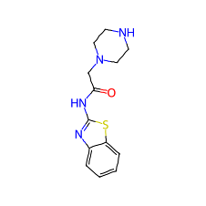 O=C(CN1CCNCC1)Nc1nc2ccccc2s1